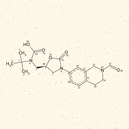 CC(C)(C)N(C[C@@H]1CN(c2ccc3c(c2)CN(C=O)CC3)C(=O)O1)C(=O)O